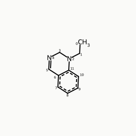 CCN1CN=Cc2ccccc21